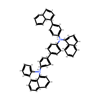 C1=CC2C=CC=C(c3ccc(N(c4ccc(-c5ccc(N(c6ccccc6)c6cccc7ccccc67)cc5)cc4)c4cccc5ccccc45)cc3)C2C=C1